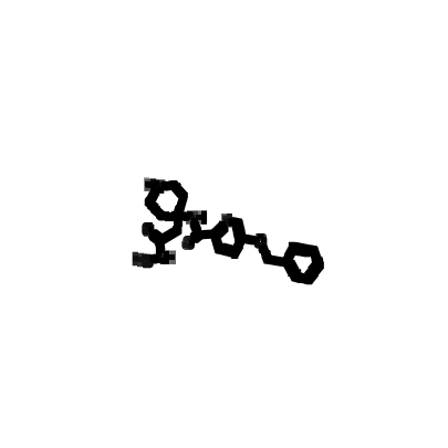 O=C(CC1(NC(=O)c2ccc(OCc3ccccc3)cn2)CCNCC1)NO